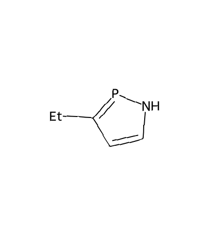 CCc1cc[nH]p1